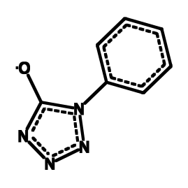 [O]c1nnnn1-c1ccccc1